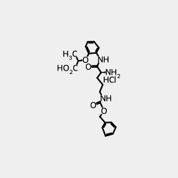 CC(Oc1ccccc1NC(=O)[C@@H](N)CCCNC(=O)OCc1ccccc1)C(=O)O.Cl